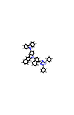 c1ccc(-c2nc(-c3ccccc3)nc(-c3ccc(-n4c5ccc(-n6c7ccccc7c7ccccc76)cc5c5cc6ccccc6cc54)c4ccccc34)n2)cc1